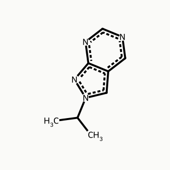 CC(C)n1cc2cncnc2n1